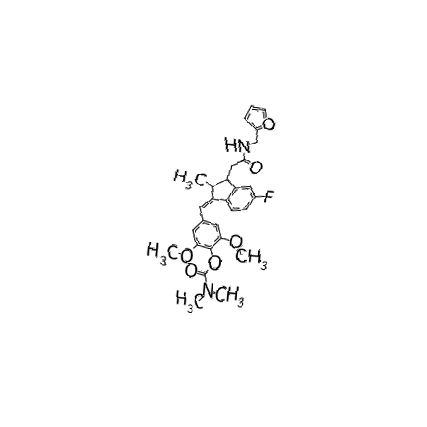 COc1cc(/C=C2\c3ccc(F)cc3C(CC(=O)NCc3ccco3)C2C)cc(OC)c1OC(=O)N(C)C